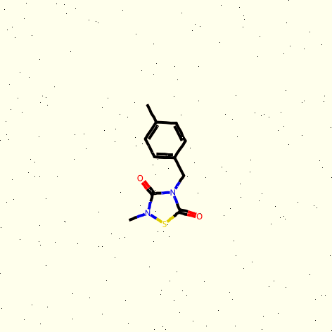 Cc1ccc(Cn2c(=O)sn(C)c2=O)cc1